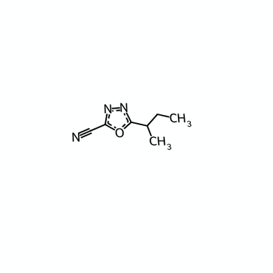 CCC(C)c1nnc(C#N)o1